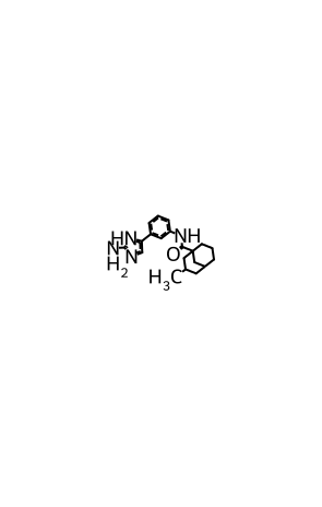 CC1CC2CCCC(C(=O)Nc3cccc(-c4cnc(N)[nH]4)c3)(C1)C2